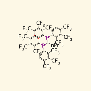 CCCC(P(c1ccc(C(F)(F)F)c(C(F)(F)F)c1C(F)(F)F)c1ccc(C(F)(F)F)c(C(F)(F)F)c1C(F)(F)F)P(c1ccc(C(F)(F)F)c(C(F)(F)F)c1C(F)(F)F)c1ccc(C(F)(F)F)c(C(F)(F)F)c1C(F)(F)F